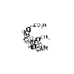 COc1ccccc1C(=O)c1cc(C)ccc1NC(=O)Nc1ncc(CS(=O)(=O)c2ccc(CCC(=O)O)cc2)s1